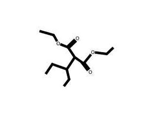 CCOC(=O)C(C(=O)OCC)C(CC)CC